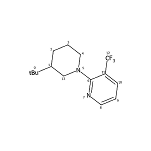 CC(C)(C)C1CCCN(c2ncccc2C(F)(F)F)C1